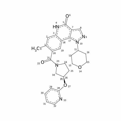 Cc1cc2[nH]c(=O)c3cnn(C4CCOCC4)c3c2cc1C(=O)N1CC[C@@H](Oc2ccccn2)C1